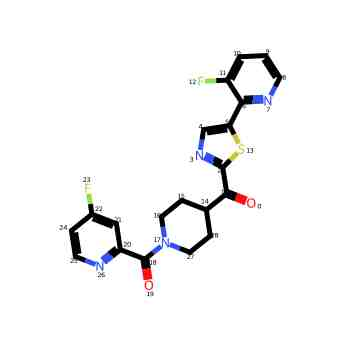 O=C(c1ncc(-c2ncccc2F)s1)C1CCN(C(=O)c2cc(F)ccn2)CC1